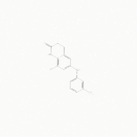 O=C1CCc2cc(Nc3cccc(C(F)(F)F)c3)cc(F)c2N1